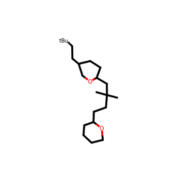 CC(C)(C)CCC1CCC(CC(C)(C)CCC2CCCCO2)OC1